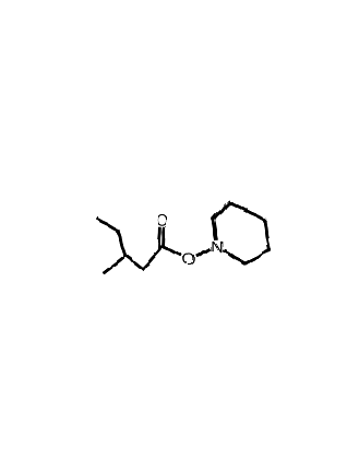 CCC(C)CC(=O)ON1CCCCC1